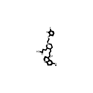 COc1ccc2nccc([C@@H](F)CCC3CCN(CCSc4cccc(F)c4F)CC3CCC(=O)O)c2c1